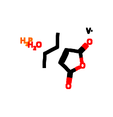 CCCC.O.O=C1C=CC(=O)O1.P.[V]